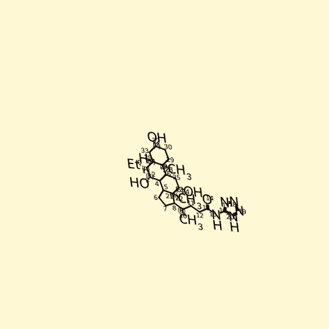 CC[C@H]1[C@@H](O)C2C3CCC([C@H](C)CCC(=O)Nc4nnn[nH]4)[C@@]3(C)[C@@H](O)CC2[C@@]2(C)CC[C@@H](O)C[C@@H]12